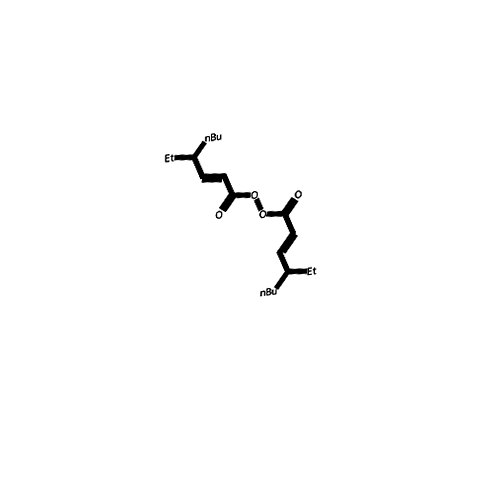 CCCCC(C=CC(=O)OOC(=O)C=CC(CC)CCCC)CC